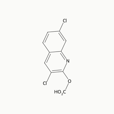 O=C(O)Oc1nc2cc(Cl)ccc2cc1Cl